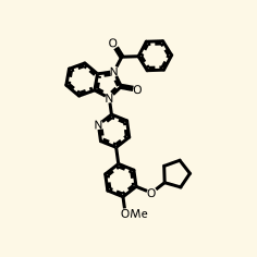 COc1ccc(-c2ccc(-n3c(=O)n(C(=O)c4ccccc4)c4ccccc43)nc2)cc1OC1CCCC1